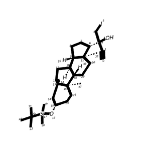 C#CC(O)(CI)[C@H]1CC[C@H]2[C@@H]3CC=C4C[C@@H](O[Si](C)(C)C(C)(C)C)CC[C@]4(C)[C@H]3CC[C@]12C